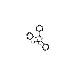 CC1(C)N(c2ccccc2)N=C(c2ccccc2)N1c1ccccc1